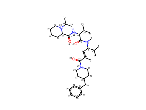 C/C(=C\[C@H](C(C)C)N(C)C(=O)[C@@H](NC(=O)C1CCCCN1C(C)C)C(C)C)C(=O)N1CCC(Cc2ccccc2)CC1